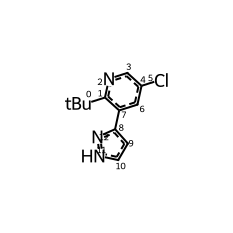 CC(C)(C)c1ncc(Cl)cc1-c1cc[nH]n1